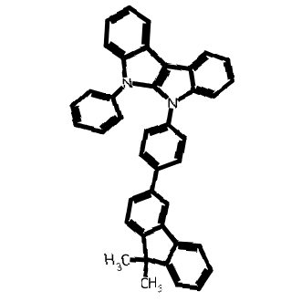 CC1(C)c2ccccc2-c2cc(-c3ccc(-n4c5ccccc5c5c6ccccc6n(-c6ccccc6)c54)cc3)ccc21